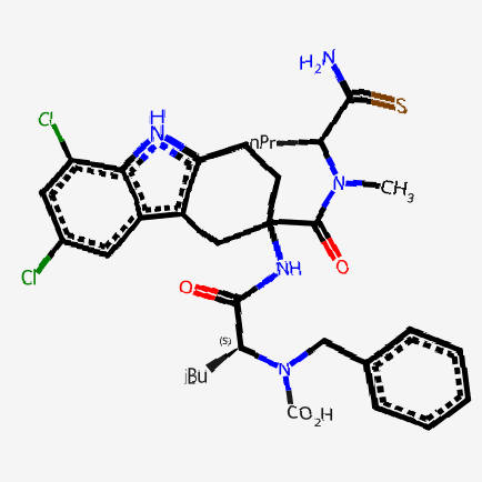 CCCC(C(N)=S)N(C)C(=O)C1(NC(=O)[C@H](C(C)CC)N(Cc2ccccc2)C(=O)O)CCc2[nH]c3c(Cl)cc(Cl)cc3c2C1